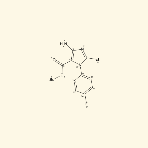 CCc1nc(N)c(C(=O)OC(C)(C)C)n1-c1ccc(F)cc1